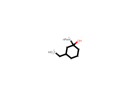 CCCCCC1(O)CCCC(CC(=O)O)C1